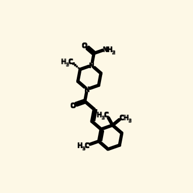 CC1=C(C=CC(=O)N2CCN(C(N)=O)[C@@H](C)C2)C(C)(C)CCC1